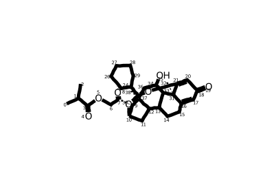 CC(C)C(=O)OCC(=O)[C@H]1C2CC3C4CCC5=CC(=O)C=C(OC(C6CCCCC6)O2)[C@]5(C)C4C(O)C[C@@]31C